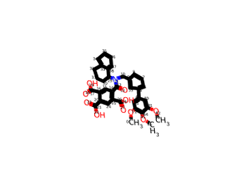 COc1cc(-c2cccc(CN(C(=O)c3cc(C(=O)O)c(C(=O)O)cc3C(=O)O)C3CCCc4ccccc43)c2)cc(OC)c1OC